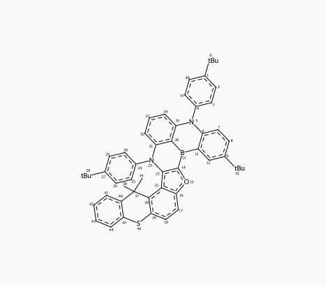 CC(C)(C)c1ccc(N2c3ccc(C(C)(C)C)cc3B3c4oc5ccc6c(c5c4N(c4ccc(C(C)(C)C)cc4)c4cccc2c43)C(C)(C)c2ccccc2S6)cc1